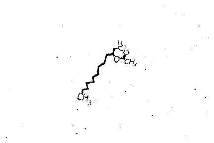 CCCCCCCCCCC(CC)OC(C)=O